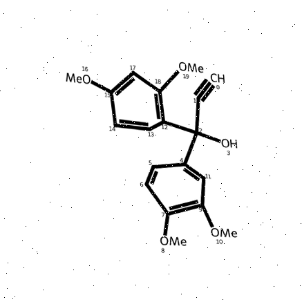 C#CC(O)(c1ccc(OC)c(OC)c1)c1ccc(OC)cc1OC